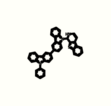 C1=Cc2c(sc3ccccc23)C(n2c3ccccc3c3cc(-c4ccc5c(c4)c4ccccc4n5-c4ccccc4)ccc32)N1